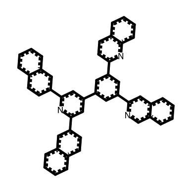 c1ccc2cc(-c3cc(-c4cc(-c5cc6ccccc6cn5)cc(-c5ccc6ccccc6n5)c4)cc(-c4ccc5ccccc5c4)n3)ccc2c1